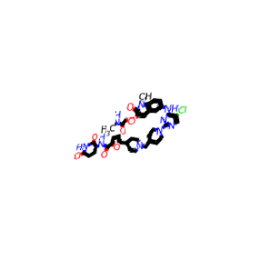 CNC(=O)COc1cc2cc(Nc3nc(N4CCC(CN5CCC(c6ccc(C(=O)NC7CCC(=O)NC7=O)o6)CC5)CC4)ncc3Cl)ccc2n(C)c1=O